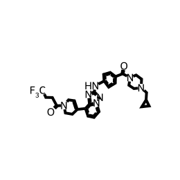 O=C(CCC(F)(F)F)N1CC=C(c2cccn3nc(Nc4ccc(C(=O)N5CCN(CC6CC6)CC5)cc4)nc23)CC1